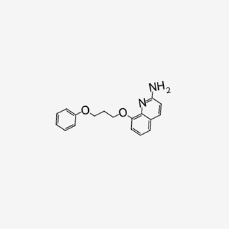 Nc1ccc2cccc(OCCCOc3ccccc3)c2n1